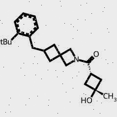 CC(C)(C)c1ccccc1CC1CC2(C1)CN(C(=O)[C@H]1C[C@@](C)(O)C1)C2